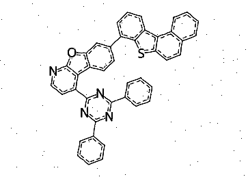 c1ccc(-c2nc(-c3ccccc3)nc(-c3ccnc4oc5cc(-c6cccc7c6sc6ccc8ccccc8c67)ccc5c34)n2)cc1